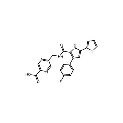 O=C(O)c1cnc(CNC(=O)c2[nH]c(-c3cccs3)cc2-c2ccc(F)cc2)cn1